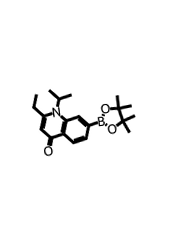 CCc1cc(=O)c2ccc(B3OC(C)(C)C(C)(C)O3)cc2n1C(C)C